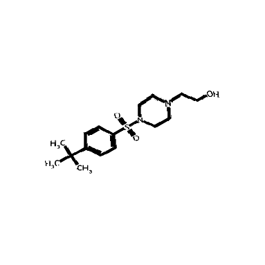 CC(C)(C)c1ccc(S(=O)(=O)N2CCN(CCO)CC2)cc1